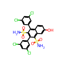 NS(=O)(=O)c1c(-c2cc(Cl)cc(Cl)c2)c(S(N)(=O)=O)c2cc(O)ccc2c1-c1cc(Cl)cc(Cl)c1